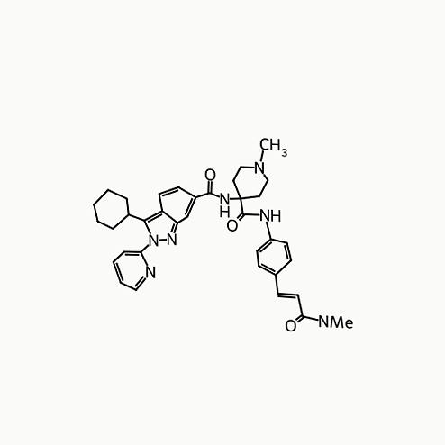 CNC(=O)/C=C/c1ccc(NC(=O)C2(NC(=O)c3ccc4c(C5CCCCC5)n(-c5ccccn5)nc4c3)CCN(C)CC2)cc1